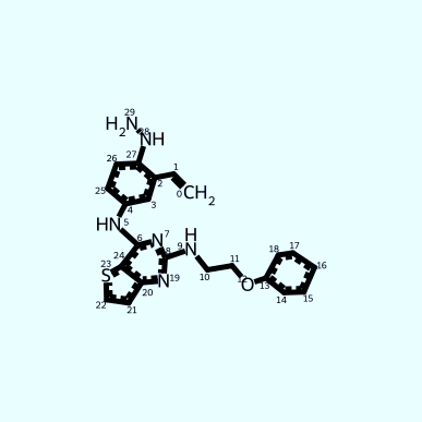 C=Cc1cc(Nc2nc(NCCOc3ccccc3)nc3ccsc23)ccc1NN